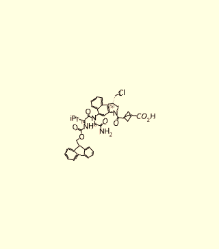 CC(C)[C@H](NC(=O)OCC1c2ccccc2-c2ccccc21)C(=O)N(c1cc2c(c3ccccc13)[C@H](CCl)CN2C(=O)C12CC(C(=O)O)(C1)C2)[C@@H](C)C(N)=O